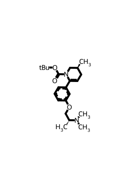 C[C@H]1CC=C(c2cccc(OC[C@@H](C)N(C)C)c2)N(C(=O)OC(C)(C)C)C1